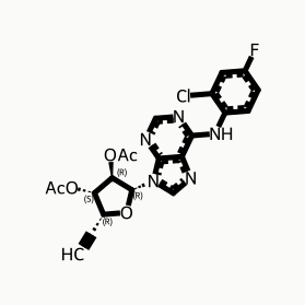 C#C[C@H]1O[C@@H](n2cnc3c(Nc4ccc(F)cc4Cl)ncnc32)[C@H](OC(C)=O)[C@H]1OC(C)=O